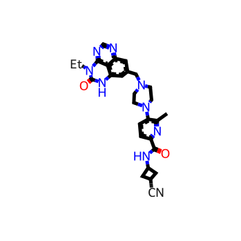 CCN1C(=O)Nc2cc(CN3CCN(c4ccc(C(=O)NC5CC(C#N)C5)nc4C)CC3)cc3ncnc1c23